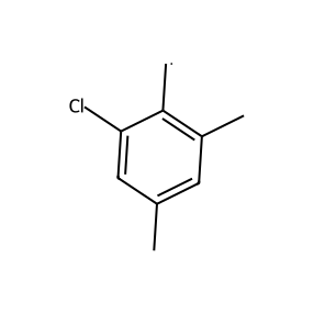 [CH2]c1c(C)cc(C)cc1Cl